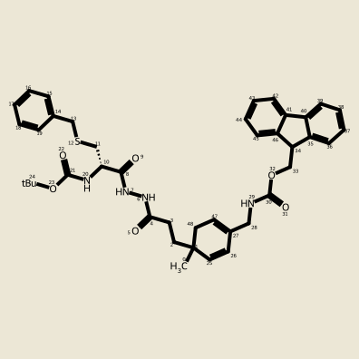 CC1(CCC(=O)NNC(=O)[C@@H](CSCc2ccccc2)NC(=O)OC(C)(C)C)C=CC(CNC(=O)OCC2c3ccccc3-c3ccccc32)=CC1